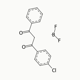 F[B]F.O=C(CC(=O)c1ccc(Cl)cc1)c1ccccc1